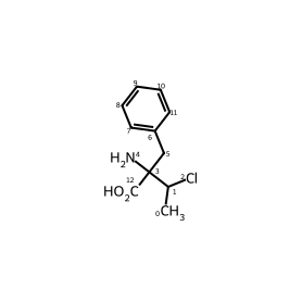 CC(Cl)C(N)(Cc1ccccc1)C(=O)O